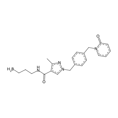 BCCCNC(=O)c1cn(Cc2ccc(Cn3ccccc3=O)cc2)nc1C